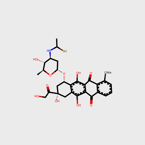 COc1cccc2c1C(=O)c1c(O)c3c(c(O)c1C2=O)C[C@@](O)(C(=O)CO)C[C@@H]3O[C@H]1C[C@H](NC(C)S)[C@@H](O)[C@H](C)O1